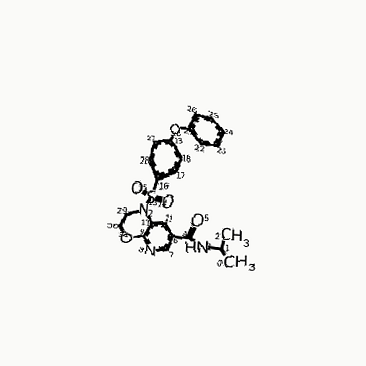 CC(C)NC(=O)c1cnc2c(c1)N(S(=O)(=O)c1ccc(Oc3ccccc3)cc1)CCO2